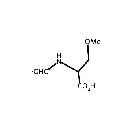 COCC(N[C]=O)C(=O)O